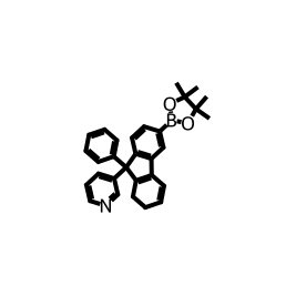 CC1(C)OB(c2ccc3c(c2)C2=C(CCC=C2)C3(c2ccccc2)c2cccnc2)OC1(C)C